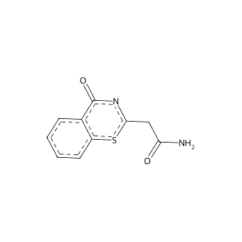 NC(=O)Cc1nc(=O)c2ccccc2s1